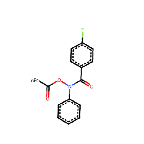 CCCC(=O)ON(C(=O)c1ccc(F)cc1)c1ccccc1